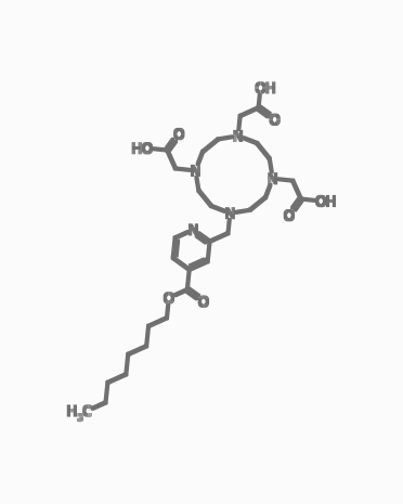 CCCCCCCCOC(=O)c1ccnc(CN2CCN(CC(=O)O)CCN(CC(=O)O)CCN(CC(=O)O)CC2)c1